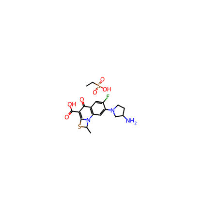 CC1Sc2c(C(=O)O)c(=O)c3cc(F)c(N4CCC(N)C4)cc3n21.CCS(=O)(=O)O